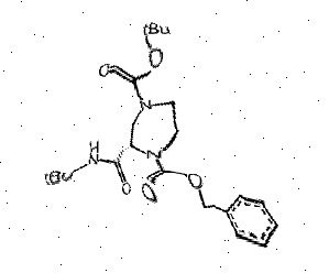 CC(C)(C)NC(=O)[C@@H]1CN(C(=O)OC(C)(C)C)CCN1C(=O)OCc1ccccc1